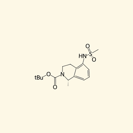 C[C@H]1c2cccc(NS(C)(=O)=O)c2CCN1C(=O)OC(C)(C)C